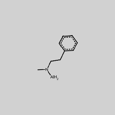 C[N]([AlH2])CCc1ccccc1